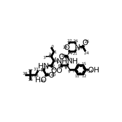 CC[C@H](C)[C@H](NC(=O)[C@H](Cc1ccc(O)cc1)NC(=O)[C@H]1CN(C(C)=O)CCO1)C(=O)N[C@@H](CCC(C)(C)C)C(=O)O